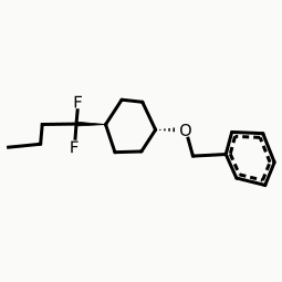 CCCC(F)(F)[C@H]1CC[C@H](OCc2ccccc2)CC1